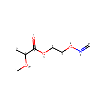 C=NOCCOC(=O)C(C)OC